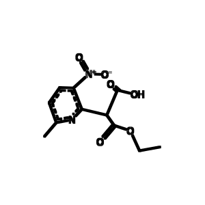 CCOC(=O)C(C(=O)O)c1nc(C)ccc1[N+](=O)[O-]